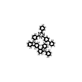 c1ccc(-c2ccc(-c3nc(-c4ccccc4)nc(-c4cccc(-n5c6ccccc6c6cc(-c7cccc8c7c7ccccc7n8-c7ccccc7)ccc65)c4)n3)cc2)cc1